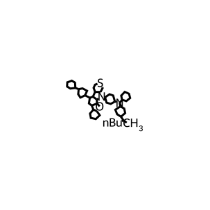 CCCCC(C)C1CCC(N(C2CCCCC2)C2CCC(N3C4CSCCC4C4C(C5CCC(C6CCCCC6)CC5)CC5C6CCCCC6OC5C43)CC2)CC1